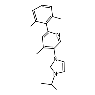 Cc1cc(-c2c(C)cccc2C)ncc1N1C=CN(C(C)C)C1